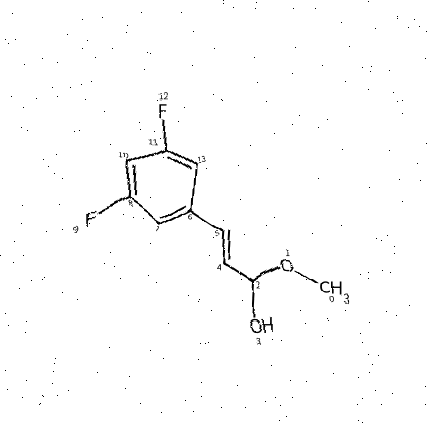 COC(O)/C=C/c1cc(F)cc(F)c1